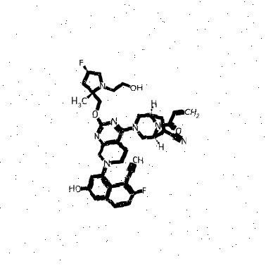 C#Cc1c(F)ccc2cc(O)cc(N3CCc4c(nc(OC[C@]5(C)C[C@@H](F)CN5CCO)nc4N4C[C@H]5CC(C#N)[C@@H](C4)N5C(=O)C=C)C3)c12